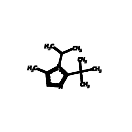 Cc1cnc(C(C)(C)C)n1C(C)C